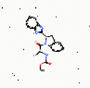 CCC(NC(=O)OC(C)(C)C)C(=O)N1c2ccccc2CC1c1nc2ccccc2[nH]1